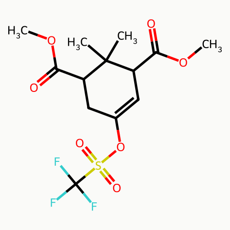 COC(=O)C1C=C(OS(=O)(=O)C(F)(F)F)CC(C(=O)OC)C1(C)C